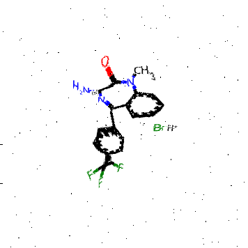 CN1C(=O)[C@@H](N)N=C(c2ccc(C(F)(F)F)cc2)c2ccccc21.[Br-].[H+]